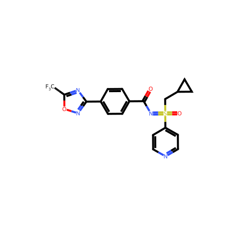 O=C(N=S(=O)(CC1CC1)c1ccncc1)c1ccc(-c2noc(C(F)(F)F)n2)cc1